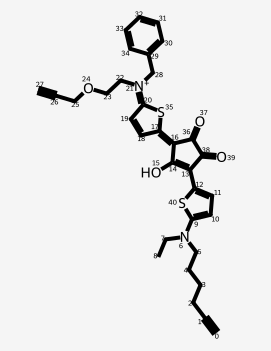 C#CCCCCN(CC)c1ccc(C2=C(O)/C(=C3C=C/C(=[N+](\CCOCC#C)Cc4ccccc4)S\3)C(=O)C2=O)s1